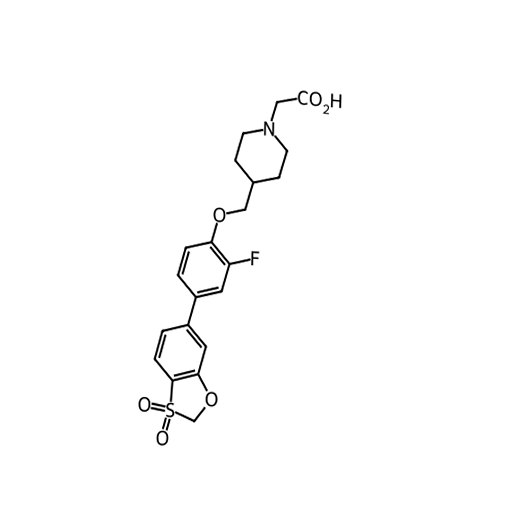 O=C(O)CN1CCC(COc2ccc(-c3ccc4c(c3)OCS4(=O)=O)cc2F)CC1